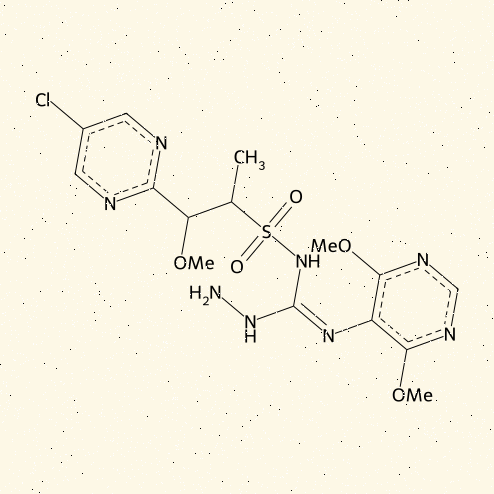 COc1ncnc(OC)c1/N=C(/NN)NS(=O)(=O)C(C)C(OC)c1ncc(Cl)cn1